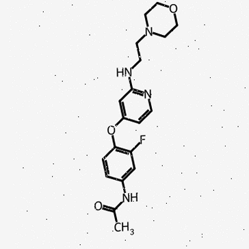 CC(=O)Nc1ccc(Oc2ccnc(NCCN3CCOCC3)c2)c(F)c1